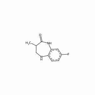 CC1CNc2ccc(F)cc2NC1=O